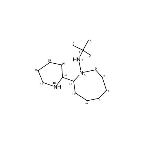 CC(C)(C)NN1CCCCCCC1C1CCCCN1